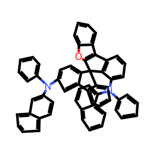 c1ccc(N(c2ccc3c(c2)-c2ccccc2C32c3oc4ccccc4c3-c3cccc(N(c4ccccc4)c4cccc5ccccc45)c32)c2ccc3ccccc3c2)cc1